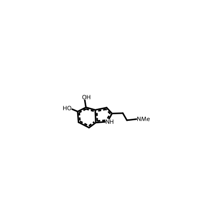 CNCCc1cc2c(O)c(O)ccc2[nH]1